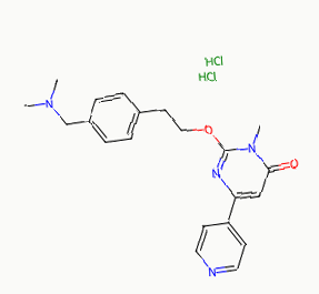 CN(C)Cc1ccc(CCOc2nc(-c3ccncc3)cc(=O)n2C)cc1.Cl.Cl